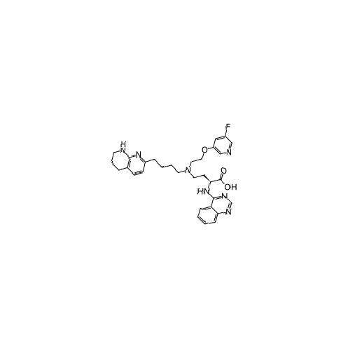 O=C(O)[C@H](CCN(CCCCc1ccc2c(n1)NCCC2)CCOc1cncc(F)c1)Nc1ncnc2ccccc12